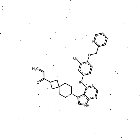 C=CC(=O)N1CC2(CCC(c3c[nH]c4ncnc(Nc5ccc(OCc6ccccn6)c(Cl)c5)c34)CC2)C1